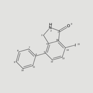 O=C1NCc2c(-c3ccccc3)ccc(I)c21